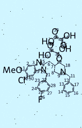 COc1cc2nc(CC3CCN(Cc4ccccc4)CC3)n(Cc3ccc(F)cc3)c2cc1Cl.O=C(O)C(=O)O.O=C(O)C(=O)O